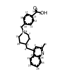 Cc1cc(CC2CCN(Cc3ccc(C(=O)O)cc3)CC2)c2ccccc2n1